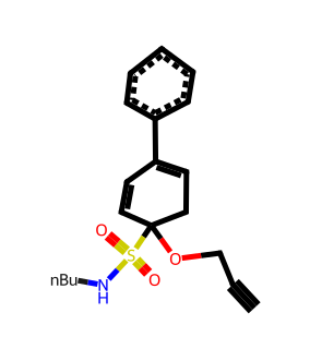 C#CCOC1(S(=O)(=O)NCCCC)C=CC(c2ccccc2)=CC1